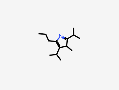 CCCC1=C(C(C)C)C(C)C(C(C)C)=N1